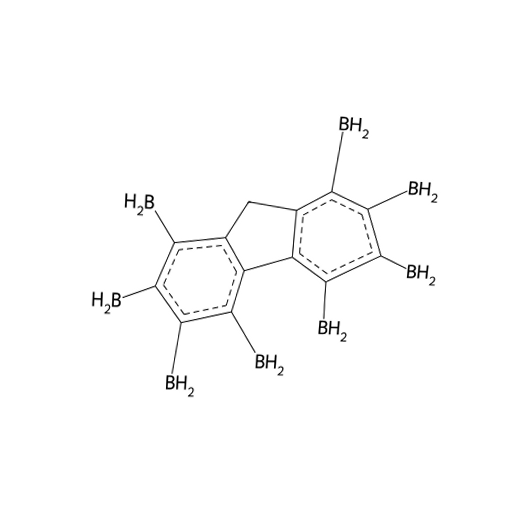 Bc1c(B)c(B)c2c(c1B)Cc1c(B)c(B)c(B)c(B)c1-2